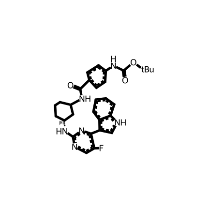 CC(C)(C)OC(=O)Nc1ccc(C(=O)NC2CCC[C@@H](Nc3ncc(F)c(-c4c[nH]c5ccccc45)n3)C2)cc1